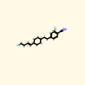 N#Cc1ccc(CCC2CCC(/C=C/CCF)CC2)cc1F